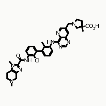 Cc1c(Nc2ncnc3cc(CN4CC[C@@](C)(C(=O)O)C4)cnc23)cccc1-c1cccc(NC(=O)c2nc3c(n2C)CCN(C)C3)c1Cl